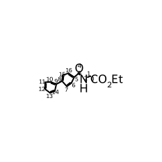 CCOC(=O)CNC(=O)c1ccc(-c2ccccc2)cc1